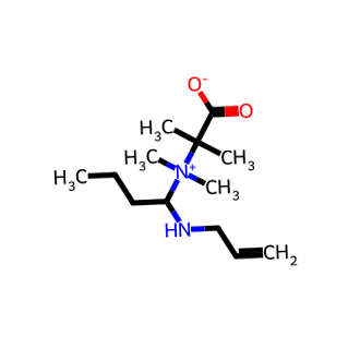 C=CCNC(CCC)[N+](C)(C)C(C)(C)C(=O)[O-]